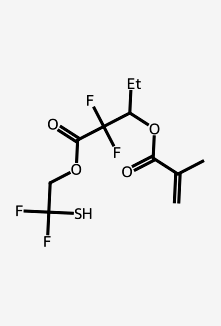 C=C(C)C(=O)OC(CC)C(F)(F)C(=O)OCC(F)(F)S